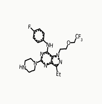 CCc1nn(CCOCC(F)(F)F)c2c(Nc3ccc(F)cc3)nc(N3CCNCC3)nc12